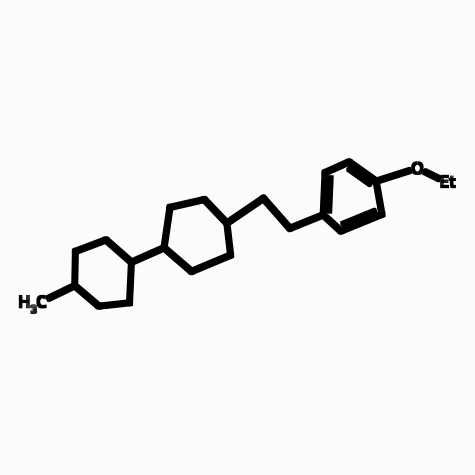 CCOc1ccc(CCC2CCC(C3CCC(C)CC3)CC2)cc1